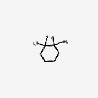 CC1(N)CCCCC1(N)N